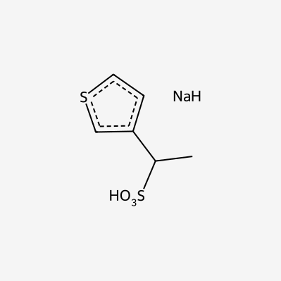 CC(c1ccsc1)S(=O)(=O)O.[NaH]